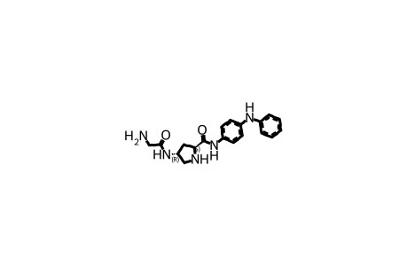 NCC(=O)N[C@H]1CN[C@H](C(=O)Nc2ccc(Nc3ccccc3)cc2)C1